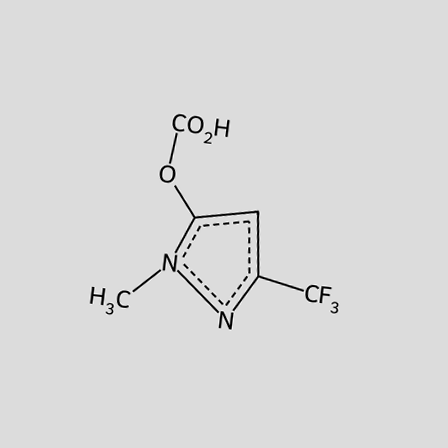 Cn1nc(C(F)(F)F)cc1OC(=O)O